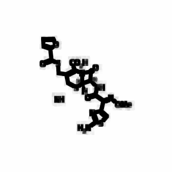 CON=C(C(=O)N[C@@H]1C(=O)N2C(C(=O)O)=C(CSC(=O)c3ccco3)CS[C@H]12)c1csc(N)n1.[KH]